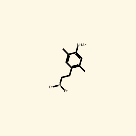 CCN(CC)CCc1cc(C)c(NC(C)=O)cc1C